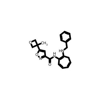 CC1(c2cc(C(=O)NC3=C(NCc4ccccc4)CC=CC=C3)no2)COC1